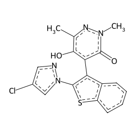 Cc1nn(C)c(=O)c(-c2c(-n3cc(Cl)cn3)sc3ccccc23)c1O